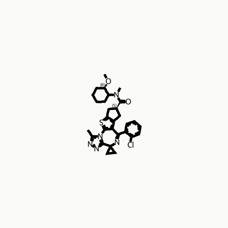 CO[C@@H]1CCCCC1N(C)C(=O)[C@@H]1Cc2sc3c(c2C1)C(c1ccccc1Cl)=NC1(CC1)c1nnc(C)n1-3